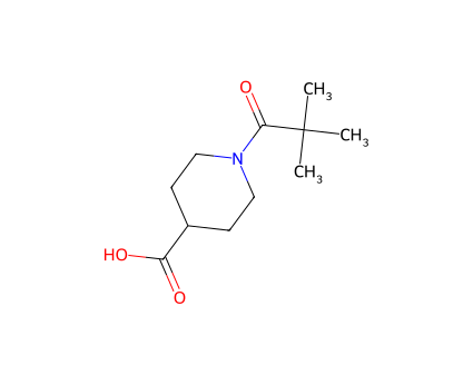 CC(C)(C)C(=O)N1CCC(C(=O)O)CC1